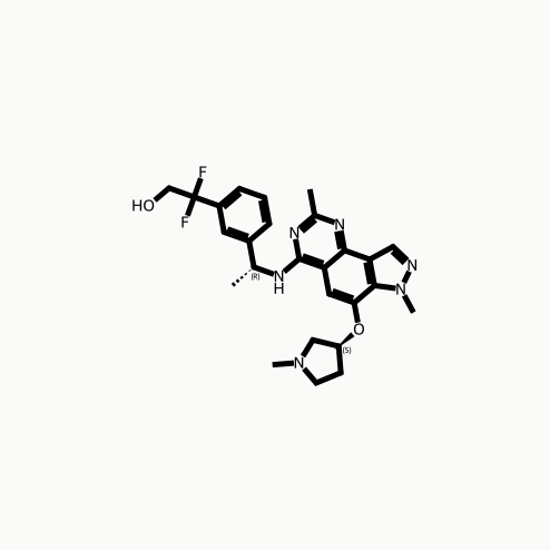 Cc1nc(N[C@H](C)c2cccc(C(F)(F)CO)c2)c2cc(O[C@H]3CCN(C)C3)c3c(cnn3C)c2n1